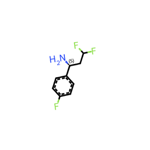 N[C@@H](CC(F)F)c1ccc(F)cc1